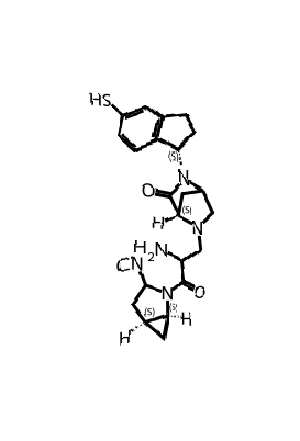 N#CC1C[C@@H]2C[C@@H]2N1C(=O)C(N)CN1CC2C[C@H]1C(=O)N2[C@H]1CCc2cc(S)ccc21